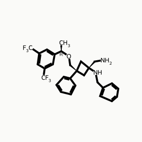 C[C@@H](OC[C@]1(c2ccccc2)C[C@@](CN)(NCc2ccccc2)C1)c1cc(C(F)(F)F)cc(C(F)(F)F)c1